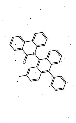 Cc1ccc2c(-c3ccccc3)c3ccccc3c(-n3c(=O)c4ccccc4c4ccccc43)c2c1